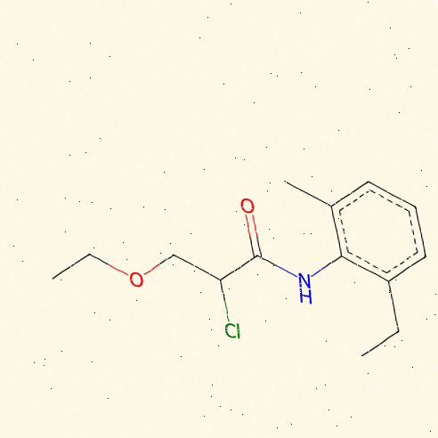 CCOCC(Cl)C(=O)Nc1c(C)cccc1CC